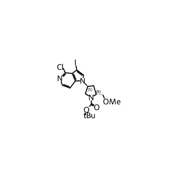 COC[C@H]1C[C@H](n2cc(I)c3c(Cl)nccc32)CN1C(=O)OC(C)(C)C